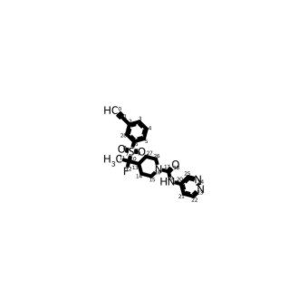 C#Cc1cccc(S(=O)(=O)C(C)(F)C2CCN(C(=O)Nc3ccnnc3)CC2)c1